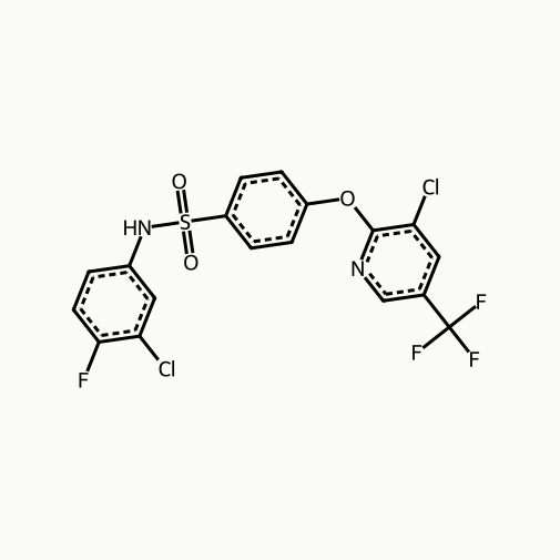 O=S(=O)(Nc1ccc(F)c(Cl)c1)c1ccc(Oc2ncc(C(F)(F)F)cc2Cl)cc1